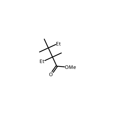 CCC(C)(C)C(C)(CC)C(=O)OC